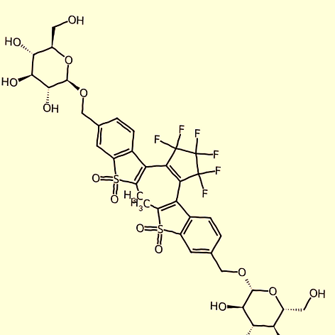 CC1=C(C2=C(C3=C(C)S(=O)(=O)c4cc(CO[C@@H]5O[C@H](CO)[C@@H](O)[C@H](O)[C@H]5O)ccc43)C(F)(F)C(F)(F)C2(F)F)c2ccc(CO[C@@H]3O[C@H](CO)[C@@H](O)[C@H](O)[C@H]3O)cc2S1(=O)=O